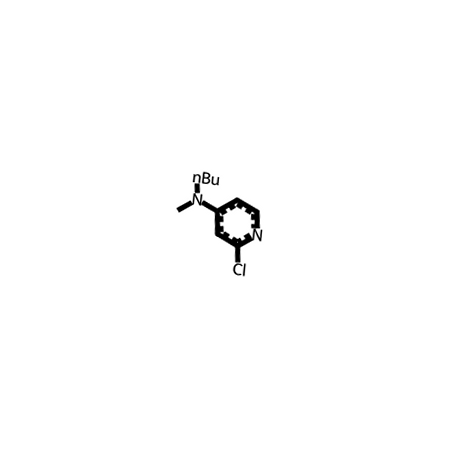 CCCCN(C)c1ccnc(Cl)c1